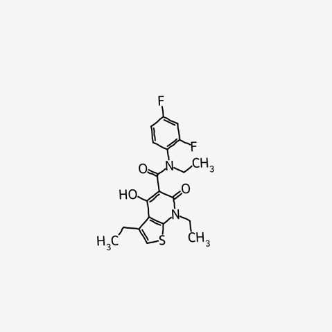 CCc1csc2c1c(O)c(C(=O)N(CC)c1ccc(F)cc1F)c(=O)n2CC